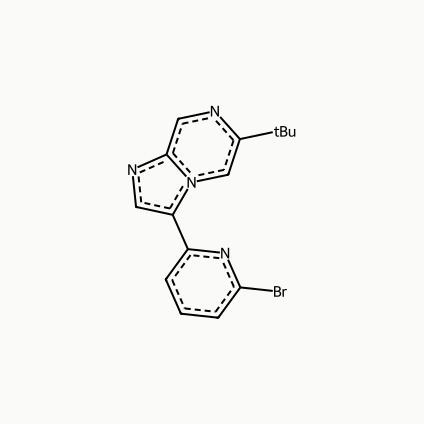 CC(C)(C)c1cn2c(-c3cccc(Br)n3)cnc2cn1